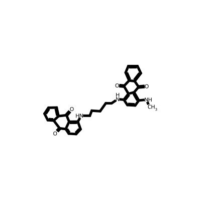 CNc1ccc(NCCCCCNc2cccc3c2C(=O)c2ccccc2C3=O)c2c1C(=O)c1ccccc1C2=O